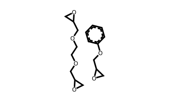 C(COCC1CO1)OCC1CO1.c1ccc(OCC2CO2)cc1